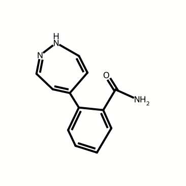 NC(=O)c1ccccc1C1=CC=NNC=C1